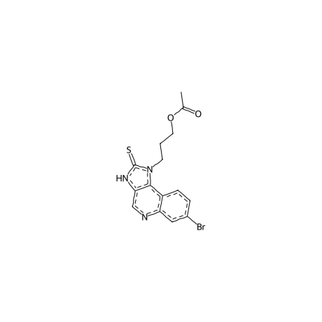 CC(=O)OCCCn1c(=S)[nH]c2cnc3cc(Br)ccc3c21